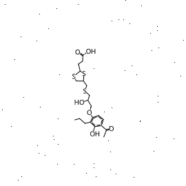 CCCc1c(OCC(O)CSCC2CSC(CCC(=O)O)S2)ccc(C(C)=O)c1O